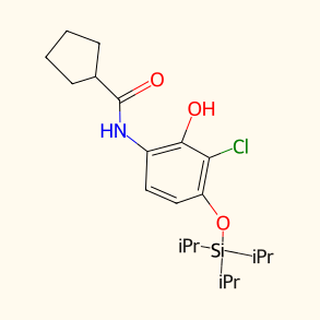 CC(C)[Si](Oc1ccc(NC(=O)C2CCCC2)c(O)c1Cl)(C(C)C)C(C)C